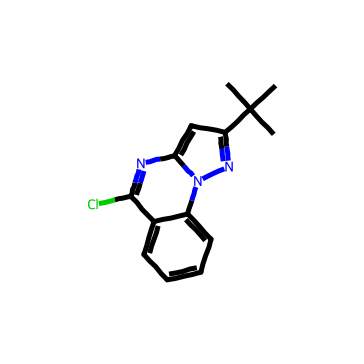 CC(C)(C)c1cc2nc(Cl)c3ccccc3n2n1